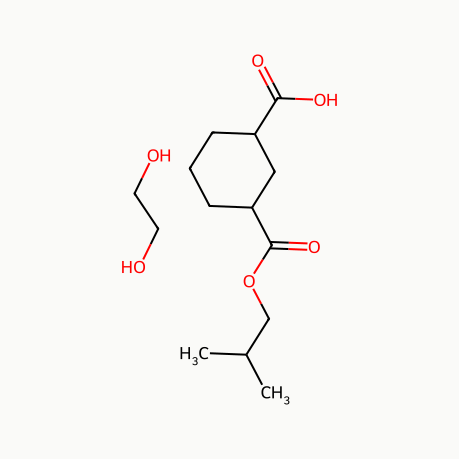 CC(C)COC(=O)C1CCCC(C(=O)O)C1.OCCO